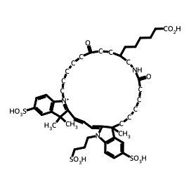 CC1(C)C2=[N+](CCCCCC(=O)CCC(CCCCCC(=O)O)CNC(=O)CCCCCC3(C)/C(=C/C=C/2)N(CCCS(=O)(=O)O)c2ccc(S(=O)(=O)O)cc23)c2ccc(S(=O)(=O)O)cc21